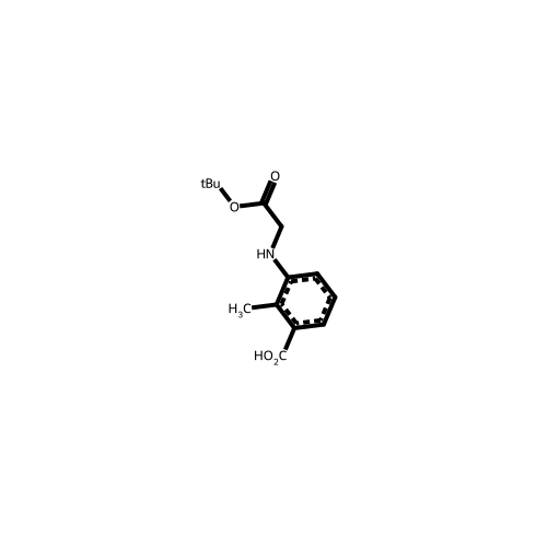 Cc1c(NCC(=O)OC(C)(C)C)cccc1C(=O)O